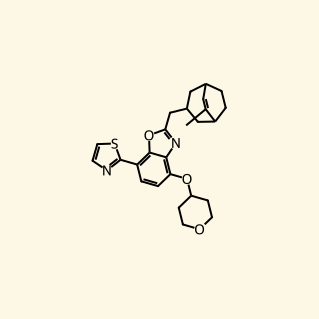 CC1=CC2CCC1CC(Cc1nc3c(OC4CCOCC4)ccc(-c4nccs4)c3o1)C2